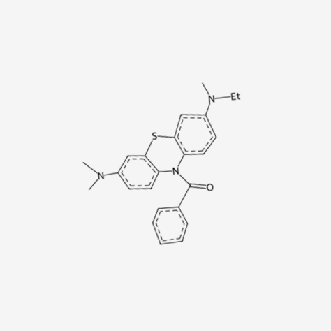 CCN(C)c1ccc2c(c1)Sc1cc(N(C)C)ccc1N2C(=O)c1ccccc1